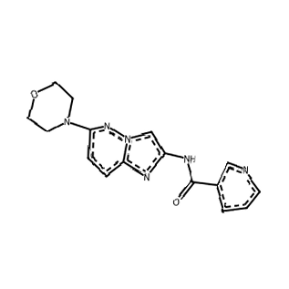 O=C(Nc1cn2nc(N3CCOCC3)ccc2n1)c1cccnc1